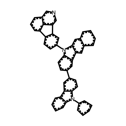 c1ccc(-n2c3ccccc3c3cc(-c4ccc5c(c4)c4cc6ccccc6cc4n5-c4ccc5c(c4)-c4cncc6cccc-5c46)ccc32)cc1